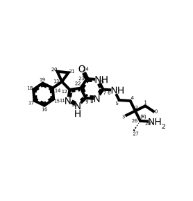 CCC(C)(CCNc1nc2[nH]nc(C3(c4ccccc4)CC3)c2c(=O)[nH]1)[C@@H](C)N